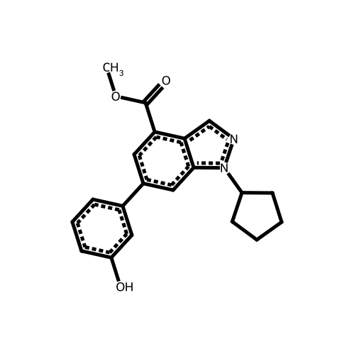 COC(=O)c1cc(-c2cccc(O)c2)cc2c1cnn2C1CCCC1